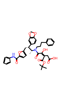 C[C@H]([C@H](Cc1ccc(C(=O)Nc2ccccc2)o1)c1ccc2c(c1)OCO2)N(CCCc1ccccc1)C(=O)C(O)=C(CC(=O)O)C(=O)OC(C)(C)C